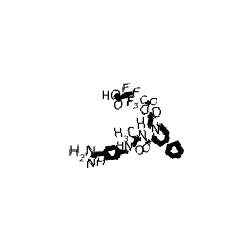 C[C@H](NC(=O)[C@H]1C[C@@H](c2ccccc2)CCN1CC(=O)OC(=O)C(F)(F)F)C(=O)NCc1ccc(C(=N)N)cc1.O=C(O)C(F)(F)F